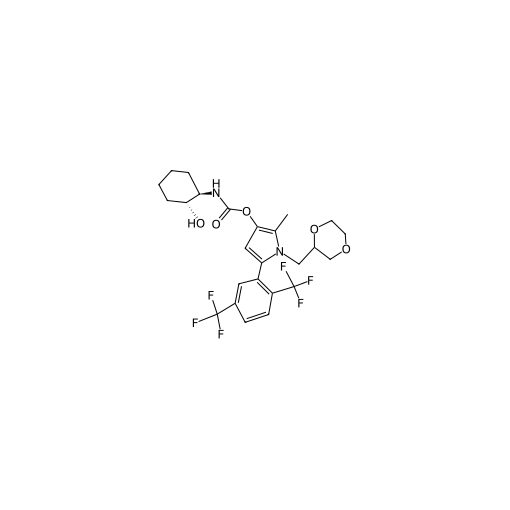 Cc1c(OC(=O)N[C@@H]2CCCC[C@H]2O)cc(-c2cc(C(F)(F)F)ccc2C(F)(F)F)n1CC1COCCO1